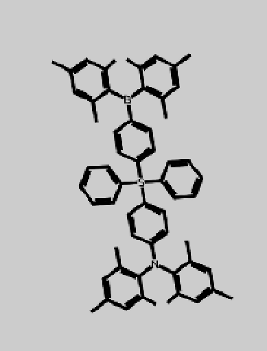 Cc1cc(C)c(B(c2ccc(S(c3ccccc3)(c3ccccc3)c3ccc(N(c4c(C)cc(C)cc4C)c4c(C)cc(C)cc4C)cc3)cc2)c2c(C)cc(C)cc2C)c(C)c1